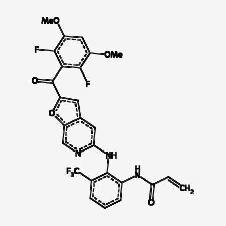 C=CC(=O)Nc1cccc(C(F)(F)F)c1Nc1cc2cc(C(=O)c3c(F)c(OC)cc(OC)c3F)oc2cn1